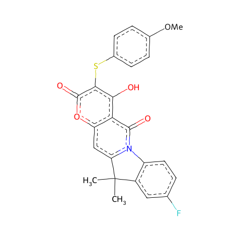 COc1ccc(Sc2c(O)c3c(=O)n4c(cc3oc2=O)C(C)(C)c2cc(F)ccc2-4)cc1